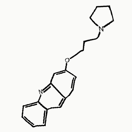 c1ccc2nc3cc(OCCCN4CCCC4)ccc3cc2c1